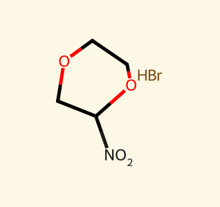 Br.O=[N+]([O-])C1COCCO1